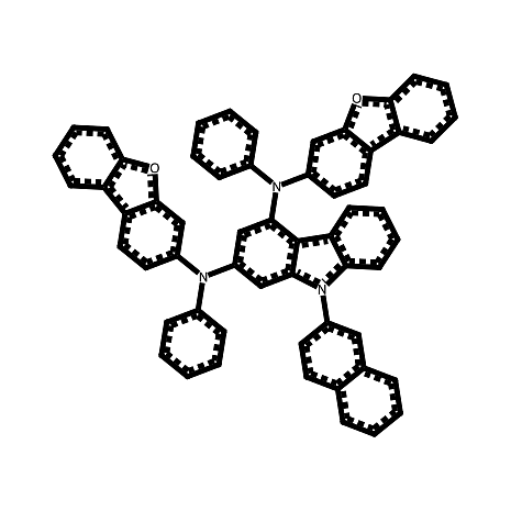 c1ccc(N(c2ccc3c(c2)oc2ccccc23)c2cc(N(c3ccccc3)c3ccc4c(c3)oc3ccccc34)c3c4ccccc4n(-c4ccc5ccccc5c4)c3c2)cc1